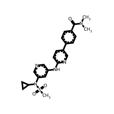 CN(C)C(=O)c1ccc(-c2ccc(Nc3cncc(N(C4CC4)S(C)(=O)=O)c3)nc2)cc1